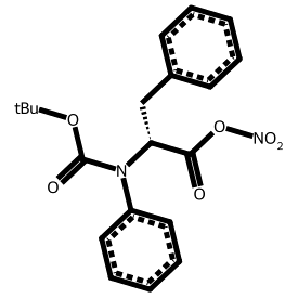 CC(C)(C)OC(=O)N(c1ccccc1)[C@H](Cc1ccccc1)C(=O)O[N+](=O)[O-]